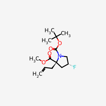 C=CC[C@]1(C(=O)OC)C[C@@H](F)CN1C(=O)OC(C)(C)C